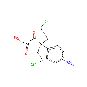 Nc1ccc(C(CCCl)(CCCl)C(=O)C(=O)O)cc1